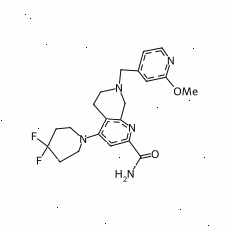 COc1cc(CN2CCc3c(N4CCC(F)(F)CC4)cc(C(N)=O)nc3C2)ccn1